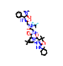 CN(C)C(=O)[C@@H](NC(=O)CNC(=O)[C@H](CC(F)F)NC(=O)[C@@H]1C2C(CN1C(=O)[C@@H](NC(=O)NC1(C)CCCCC1)C(C)(C)C)C2(C)C)c1ccccc1